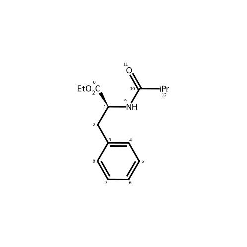 CCOC(=O)[C@H](Cc1ccccc1)NC(=O)C(C)C